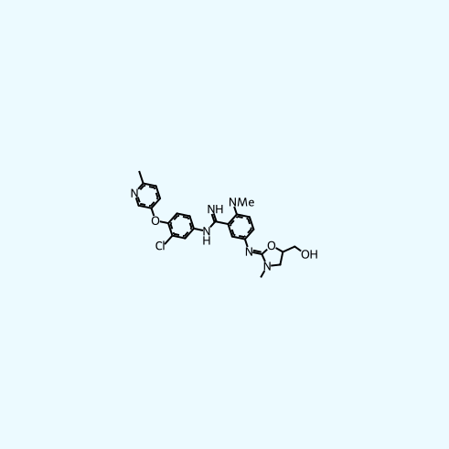 CNc1ccc(/N=C2\OC(CO)CN2C)cc1C(=N)Nc1ccc(Oc2ccc(C)nc2)c(Cl)c1